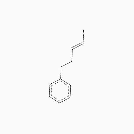 IC=CCCc1ccccc1